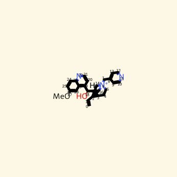 C=CC12C3CC[N+](Cc4ccncc4)(CC31)[C@@H]2[C@H](O)c1ccnc2ccc(OC)cc12